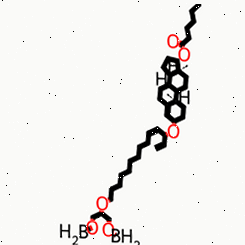 BOCC(COB)OCCCCCCCCC/C=C\C(C=C)OC1C=C2CC[C@H]3[C@@H]4CC[C@H](OC(=O)CCCCCC)[C@@]4(C)CC[C@@H]3[C@@]2(C)CC1